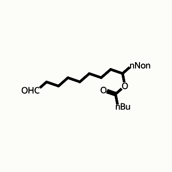 CCCCCCCCCC(CCCCCCCC=O)OC(=O)CCCC